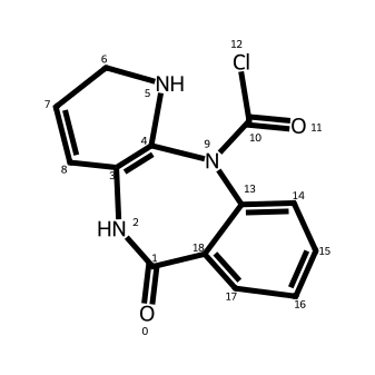 O=C1NC2=C(NCC=C2)N(C(=O)Cl)c2ccccc21